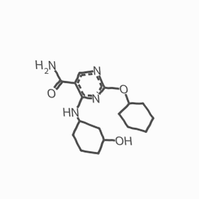 NC(=O)c1cnc(OC2CCCCC2)nc1NC1CCCC(O)C1